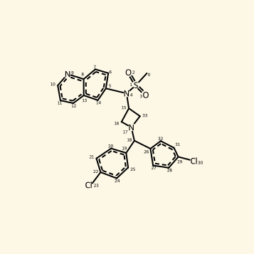 CS(=O)(=O)N(c1ccc2ncccc2c1)C1CN(C(c2ccc(Cl)cc2)c2ccc(Cl)cc2)C1